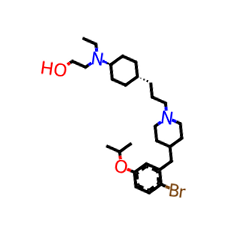 CCN(CCO)[C@H]1CC[C@H](CCCN2CCC(Cc3cc(OC(C)C)ccc3Br)CC2)CC1